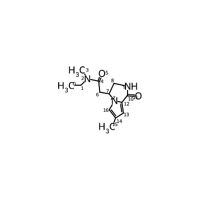 CCN(C)C(=O)CC1CNC(=O)c2cc(C)cn21